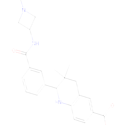 CN1CC(NC(=O)c2cccc(C3Nc4ccc(C(=O)O)cc4CC3(C)C)c2)C1